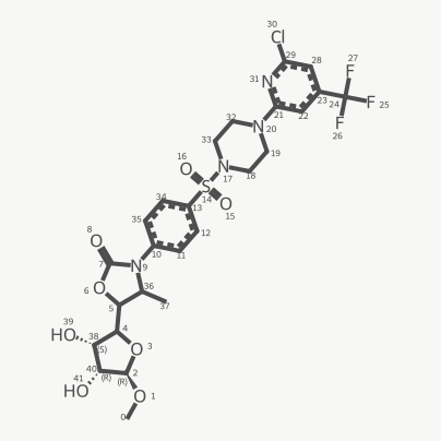 CO[C@@H]1OC(C2OC(=O)N(c3ccc(S(=O)(=O)N4CCN(c5cc(C(F)(F)F)cc(Cl)n5)CC4)cc3)C2C)[C@@H](O)[C@H]1O